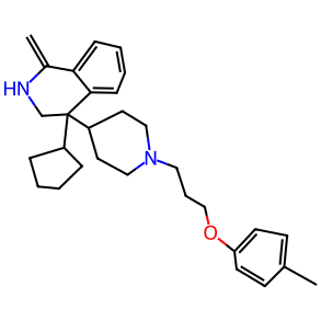 C=C1NCC(C2CCCC2)(C2CCN(CCCOc3ccc(C)cc3)CC2)c2ccccc21